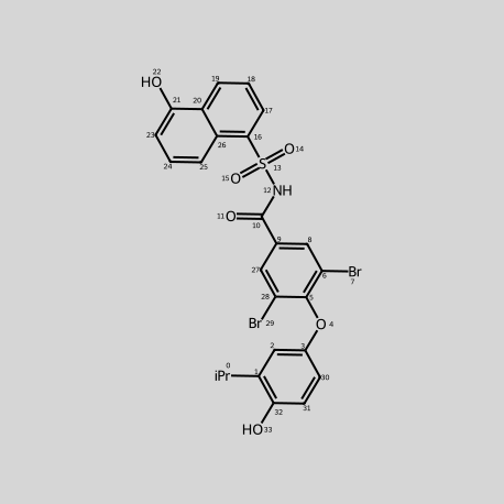 CC(C)c1cc(Oc2c(Br)cc(C(=O)NS(=O)(=O)c3cccc4c(O)cccc34)cc2Br)ccc1O